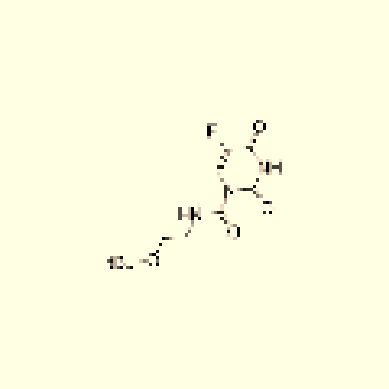 CC(C)(C)OCCNC(=O)n1cc(F)c(=O)[nH]c1=O